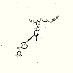 CNCCCOc1cc(NC(=O)c2cc(C#Cc3cnc4c(Nc5cn[nH]c5)cccn34)c(C)cc2F)cc(C(F)(F)F)c1